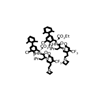 CCOC(=O)C[C@H](NC(=O)C(CC(C)C)n1cc(CCN2CCC2)c(C(F)(F)F)cc1=O)c1cc(-c2c(C)cccc2C)cc(Cl)c1F.CCOC(=O)C[C@H](NC(=O)C(CC(C)C)n1cc(CCN2CCC2)c(C(F)(F)F)cc1=O)c1cc(-c2c(C)cccc2C)cc(Cl)c1F